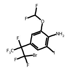 Nc1c(I)cc(C(F)(C(F)(F)F)C(F)(F)Br)cc1OC(F)F